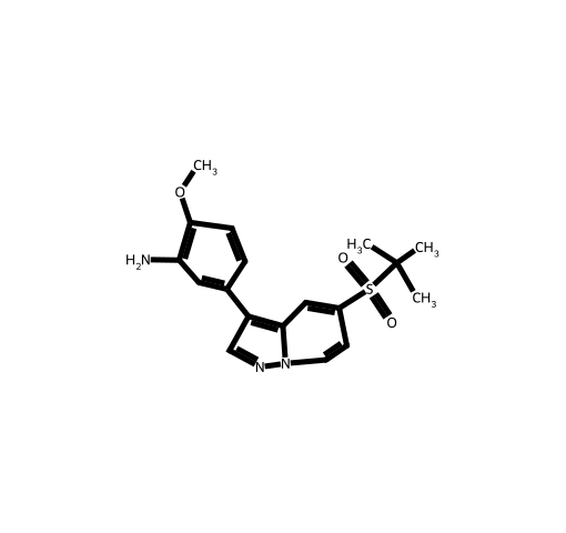 COc1ccc(-c2cnn3ccc(S(=O)(=O)C(C)(C)C)cc23)cc1N